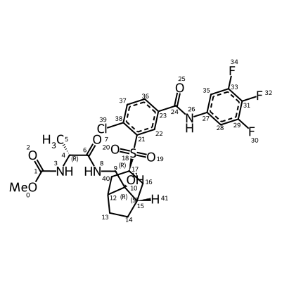 COC(=O)N[C@H](C)C(=O)NC[C@@]1(O)C2CC[C@H]1C[C@H](S(=O)(=O)c1cc(C(=O)Nc3cc(F)c(F)c(F)c3)ccc1Cl)C2